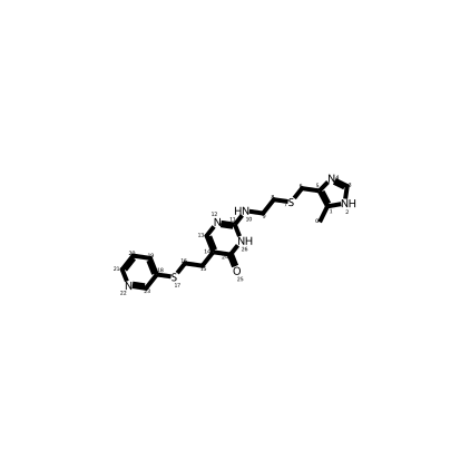 Cc1[nH]cnc1CSCCNc1ncc(CCSc2cccnc2)c(=O)[nH]1